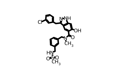 CN(Cc1cccc(CNS(C)(=O)=O)c1)C(=O)c1cc2c(Cc3cccc(Cl)c3)n[nH]c2cc1O